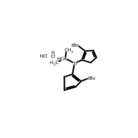 Cl.Cl.[CH3][GeH]([CH3])[Zr]([C]1=C(C(C)(C)C)C=CC1)[C]1=C(C(C)(C)C)C=CC1